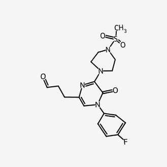 CS(=O)(=O)N1CCN(c2nc(CCC=O)cn(-c3ccc(F)cc3)c2=O)CC1